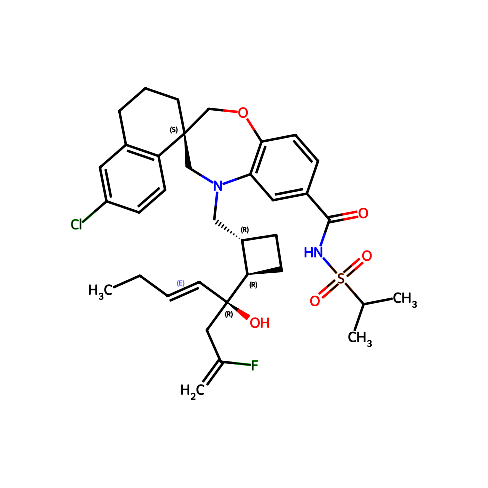 C=C(F)C[C@](O)(/C=C/CC)[C@@H]1CC[C@H]1CN1C[C@@]2(CCCc3cc(Cl)ccc32)COc2ccc(C(=O)NS(=O)(=O)C(C)C)cc21